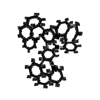 c1cnc2c(c1)ccc1cccc(-c3ccc4c(c3)c3cc(-c5cccc6ccc7cccnc7c56)ccc3n4-c3cccc4ccc5cccnc5c34)c12